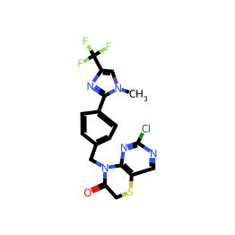 Cn1cc(C(F)(F)F)nc1-c1ccc(CN2C(=O)CSc3cnc(Cl)nc32)cc1